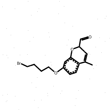 CC1=CC(C=O)Oc2cc(OCCCCBr)ccc21